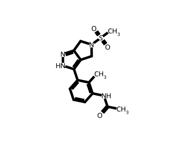 CC(=O)Nc1cccc(-c2[nH]nc3c2CN(S(C)(=O)=O)C3)c1C